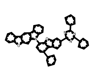 c1ccc(-c2nc(-c3ccccc3)nc(-c3ccc4c(c3)oc3c(-n5c6ccccc6c6cc7c(cc65)oc5ccccc57)ccc(-c5ccccc5)c34)n2)cc1